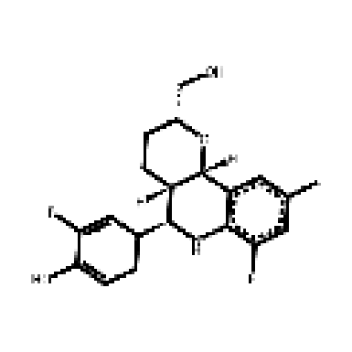 Cc1cc(F)c2c(c1)[C@H]1O[C@@H](CO)CC[C@H]1[C@H](C1C=C(F)C(O)=CC1)N2